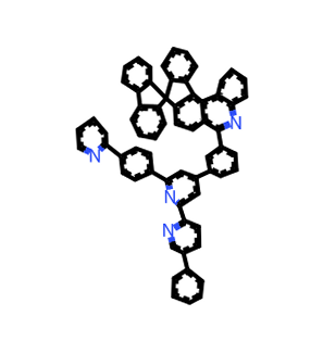 c1ccc(-c2ccc(-c3cc(-c4cccc(-c5nc6ccccc6c6c7c(ccc56)C5(c6ccccc6-c6ccccc65)c5ccccc5-7)c4)cc(-c4ccc(-c5ccccn5)cc4)n3)nc2)cc1